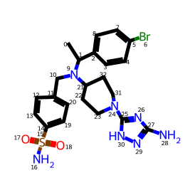 CC(c1ccc(Br)cc1)N(Cc1ccc(S(N)(=O)=O)cc1)C1CCN(c2nc(N)n[nH]2)CC1